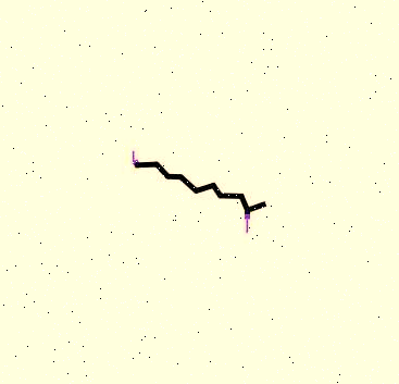 CC(I)CCCCCCCCI